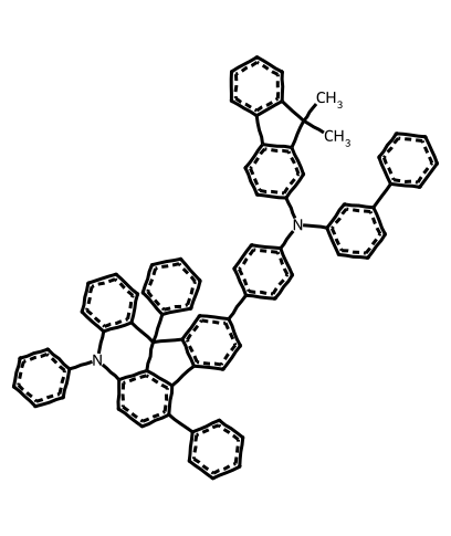 CC1(C)c2ccccc2-c2ccc(N(c3ccc(-c4ccc5c(c4)C4(c6ccccc6)c6ccccc6N(c6ccccc6)c6ccc(-c7ccccc7)c-5c64)cc3)c3cccc(-c4ccccc4)c3)cc21